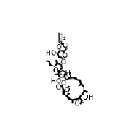 C/C=C/C1OC(O)(C(C)C(O)C(C)C2OC(=O)/C(OC)=C/C(C)=C/C(C)C(O)C(CC)C(O)C(C)C/C(C)=C/C=C/C2OC)CC(OC2CC(O)C(OC(N)=O)C(C)O2)C1C